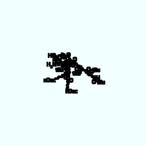 CCCCCCCCCCCCCCCC(=O)OCC(CSC[C@H](NC(=O)OC(C)(C)C)C(=O)N[C@@H](COC(=O)c1ccc(Cn2c(O)nc3c(N)nc(NCCCC)nc32)cc1)C(=O)NCCCN(CCCCN(CCCNC(=O)OC(C)(C)C)C(=O)OC(C)(C)C)C(=O)OC(C)(C)C)OC(=O)CCCCCCCCCCCCCCC